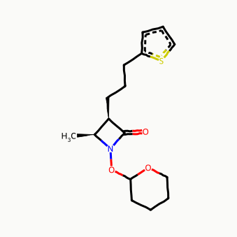 C[C@H]1[C@@H](CCCc2cccs2)C(=O)N1OC1CCCCO1